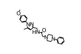 COc1ccc(-n2nc(CNC(=O)CN3CCN(c4ccccc4)CC3)cc2C)cc1